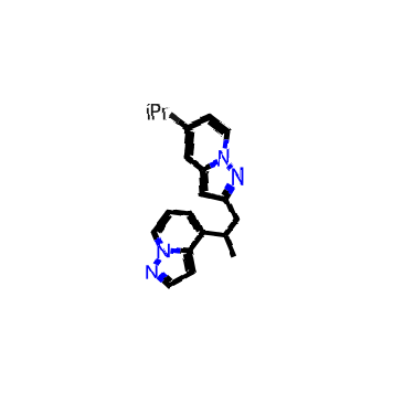 CC(C)c1ccn2nc(CC(C)c3cccn4nccc34)cc2c1